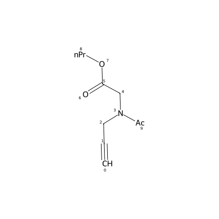 C#CCN(CC(=O)OCCC)C(C)=O